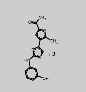 Cc1sc(C(N)=O)cc1-c1csc(Nc2cccc(O)c2)n1.Cl